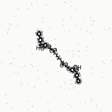 O=C(CCCCCCCCC(=O)OCCOc1ccc(C(=S)c2ccc(-c3ccccc3)cc2)c(O)c1)OCCOc1ccc(C(=S)c2ccc(-c3ccccc3)cc2)c(O)c1